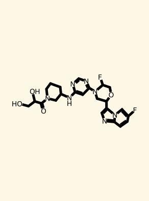 O=C(C(O)CO)N1CCCC(Nc2cc(N3CC(c4cnc5ccc(F)cn45)OCC3F)ncn2)C1